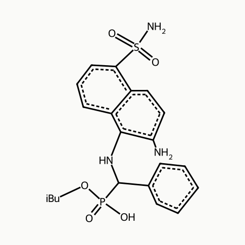 CCC(C)OP(=O)(O)C(Nc1c(N)ccc2c(S(N)(=O)=O)cccc12)c1ccccc1